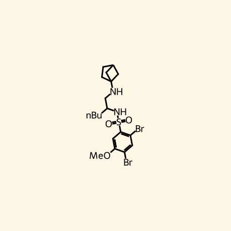 CCCCC(CNC12CCC(C1)C2)NS(=O)(=O)c1cc(OC)c(Br)cc1Br